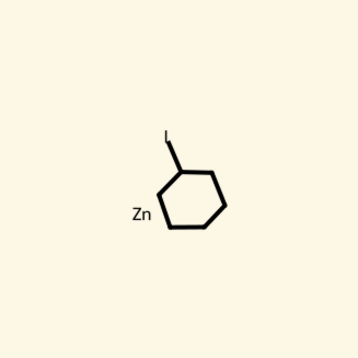 IC1CCCCC1.[Zn]